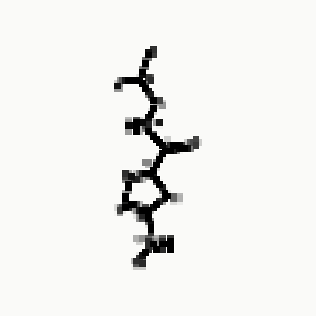 C=C(NCC(C)C)C1=CC=C(NC)C1